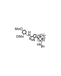 COc1ccc(CNc2ncnc3c2ccn3[C@@H]2O[C@H](CNC(C)C)[C@H]3OC(C)(C)O[C@H]32)c(OC)c1